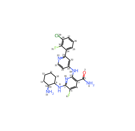 NC(=O)c1cc(F)c(NC2CCCC[C@@H]2N)nc1Nc1ccnc(-c2cccc(Cl)c2F)c1